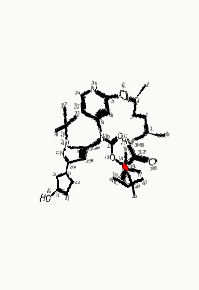 C[C@H](CC[C@H](C)Oc1cc(N(C(=O)OC(C)(C)C)c2cc([C@H]3CC[C@@H](O)C3)nn2C(C)(C)C)ccn1)NC(=O)OC(C)(C)C